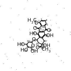 COc1cccc2c1C(=O)c1c(O)c3c(c(O)c1C2=O)C[C@@](O)(C(C)=O)C[C@@H]3O[C@H]1C[C@H](O)[C@H](O)[C@H](O)O1